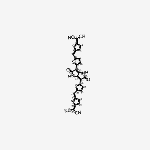 N#CC(C#N)=c1cc/c(=C\c2ccc(C3=C4NC(=O)C(c5ccc(/C=c6\ccc(=C(C#N)C#N)s6)s5)=C4NC3=O)s2)s1